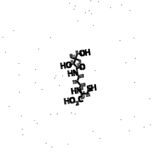 CC(C)(CO)C(O)C(=O)NCCCN[C@@H](CS)C(=O)O